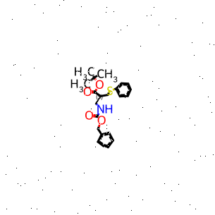 CC(C)(C)OC(=O)[C@H](CNC(=O)OCc1ccccc1)CSc1ccccc1